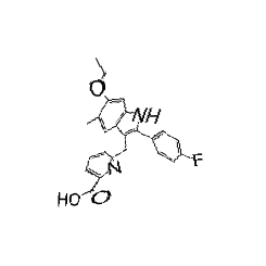 CCOc1cc2[nH]c(-c3ccc(F)cc3)c(Cc3cccc(C(=O)O)n3)c2cc1C